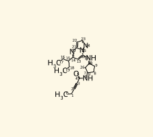 CCC#CC(=O)N[C@H]1CC[C@H](Nc2cc(C(CC)CC)nc3ccnn23)C1